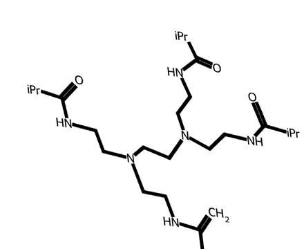 C=C(NCCN(CCNC(=O)C(C)C)CCN(CCNC(=O)C(C)C)CCNC(=O)C(C)C)C(C)C